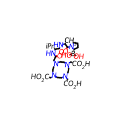 CC(C)[C@H](NC(=O)CN1CCN(CC(=O)O)CCN(CC(=O)O)CCN(CC(=O)O)CC1)C(=O)N[C@H](C)C(=O)N1CCC[C@H]1B(O)O